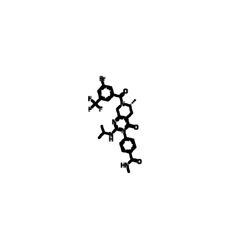 CNC(=O)c1ccc(-n2c(NC(C)C)nc3c(c2=O)C[C@@H](C)N(C(=O)c2cc(Br)cc(C(F)(F)F)c2)C3)cc1